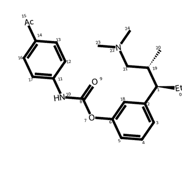 CC[C@@H](c1cccc(OC(=O)Nc2ccc(C(C)=O)cc2)c1)[C@@H](C)CN(C)C